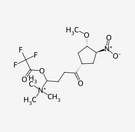 CO[C@H]1C[C@@H](C(=O)CCC(OC(=O)C(F)(F)F)[N+](C)(C)C)C[C@@H]1[N+](=O)[O-]